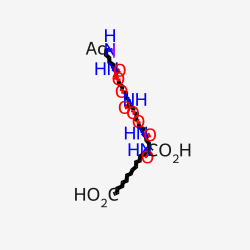 CC(=O)[C@H](CCCCNC(=O)COCCOCCNC(=O)COCCOCCNC(=O)CC[C@H](NC(=O)CCCCCCCCCCCCC(=O)O)C(=O)O)NI